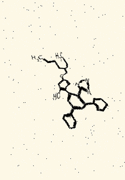 CCCCC(CC)COc1ccc(-c2cc(-c3ccccc3)cc(-c3ccccc3)c2-c2ncncn2)c(O)c1